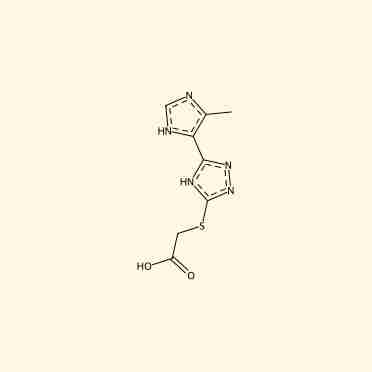 Cc1nc[nH]c1-c1nnc(SCC(=O)O)[nH]1